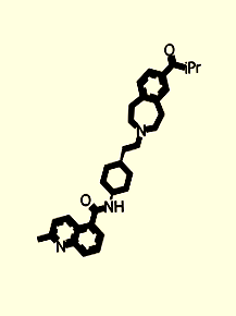 Cc1ccc2c(C(=O)N[C@H]3CC[C@H](CCN4CCc5ccc(C(=O)C(C)C)cc5CC4)CC3)cccc2n1